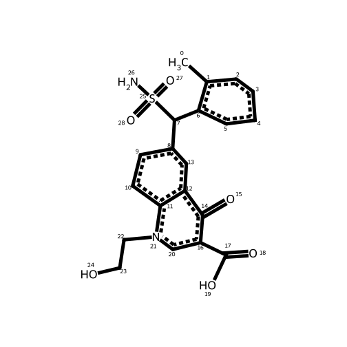 Cc1ccccc1C(c1ccc2c(c1)c(=O)c(C(=O)O)cn2CCO)S(N)(=O)=O